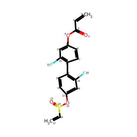 C=CC(=O)Oc1ccc(-c2ccc(OS(=O)C=C)cc2F)c(F)c1